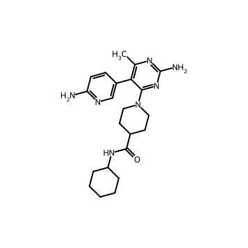 Cc1nc(N)nc(N2CCC(C(=O)NC3CCCCC3)CC2)c1-c1ccc(N)nc1